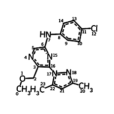 COCc1ncc(Nc2ccc(Cl)cc2)nc1-n1nc(C)cc1C